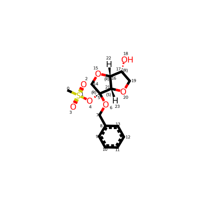 CS(=O)(=O)O[C@]1(OCc2ccccc2)CO[C@@H]2[C@H](O)CO[C@@H]21